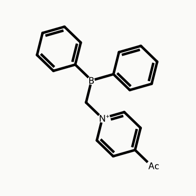 CC(=O)c1cc[n+](CB(c2ccccc2)c2ccccc2)cc1